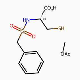 COC(C)=O.O=C(O)[C@H](CS)NS(=O)(=O)Cc1ccccc1